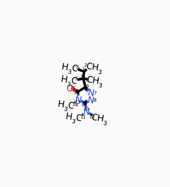 CC(C)C(C)(C)c1nnc(N(C)C)n(C)c1=O